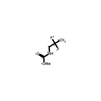 COC(=O)NCC(C)(F)F